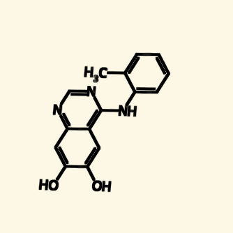 Cc1ccccc1Nc1ncnc2cc(O)c(O)cc12